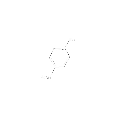 CCC(C)c1ccc(NC(C)=O)cc1